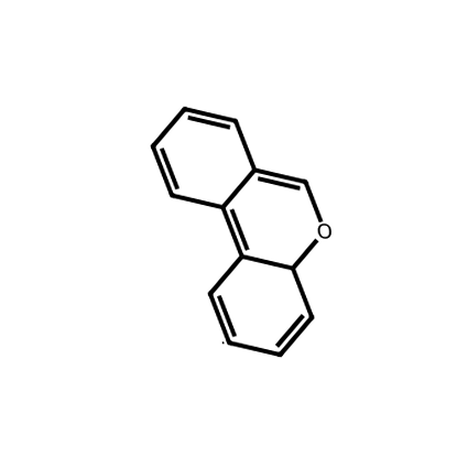 [C]1=CC2=c3ccccc3=COC2C=C1